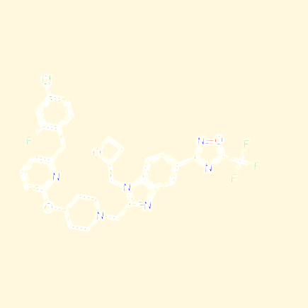 Fc1cc(Cl)ccc1Cc1cccc(OC2CCN(Cc3nc4cc(-c5noc(C(F)(F)F)n5)ccc4n3CC3CCO3)CC2)n1